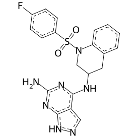 Nc1nc(NC2Cc3ccccc3N(S(=O)(=O)c3ccc(F)cc3)C2)c2cn[nH]c2n1